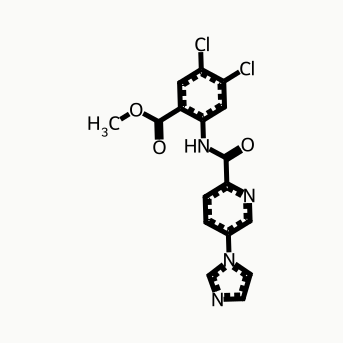 COC(=O)c1cc(Cl)c(Cl)cc1NC(=O)c1ccc(-n2ccnc2)cn1